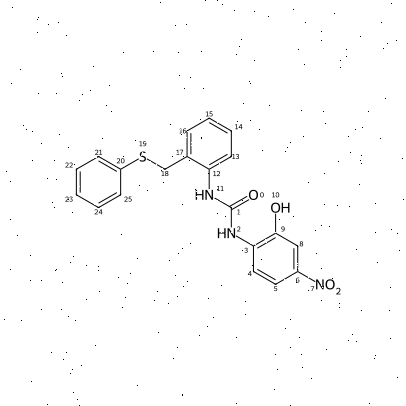 O=C(Nc1ccc([N+](=O)[O-])cc1O)Nc1ccccc1CSc1ccccc1